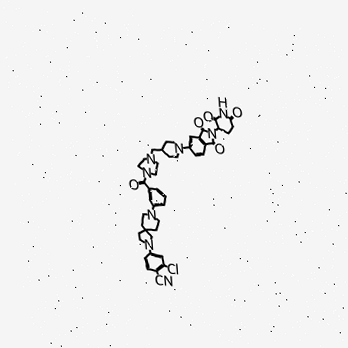 N#Cc1ccc(N2CCC3(CCN(c4cccc(C(=O)N5CCN(CC6CCN(c7ccc8c(c7)C(=O)N(C7CCC(=O)NC7=O)C8=O)CC6)CC5)c4)CC3)C2)cc1Cl